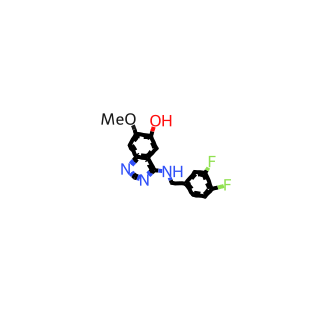 COc1cc2ncnc(NCc3ccc(F)c(F)c3)c2cc1O